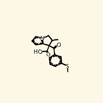 CSc1cccc(C(=O)C2(C(=O)O)c3cccn3CC2C)c1